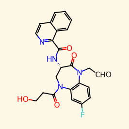 O=CCN1C(=O)[C@@H](NC(=O)c2nccc3ccccc23)CN(C(=O)CCO)c2cc(F)ccc21